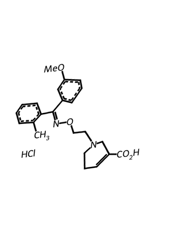 COc1cccc(/C(=N\OCCN2CCC=C(C(=O)O)C2)c2ccccc2C)c1.Cl